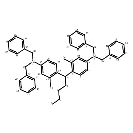 CCCCC(c1ccc(N(Cc2ccccc2)Cc2ccccc2)cc1C)c1ccc(N(Cc2ccccc2)Cc2ccccc2)cc1C